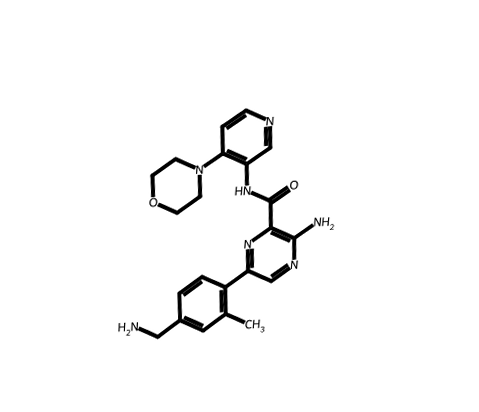 Cc1cc(CN)ccc1-c1cnc(N)c(C(=O)Nc2cnccc2N2CCOCC2)n1